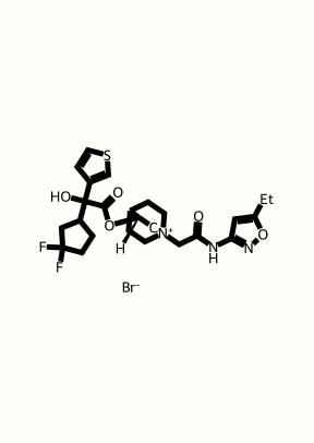 CCc1cc(NC(=O)C[N+]23CCC(CC2)[C@@H](OC(=O)C(O)(c2ccsc2)C2CCC(F)(F)C2)C3)no1.[Br-]